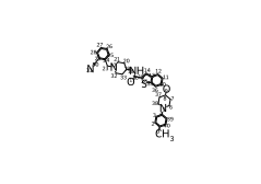 Cc1ccc(N2CCC(Oc3ccc4cc(C(=O)NC5CCN(Cc6ccccc6C#N)CC5)sc4c3)CC2)cc1